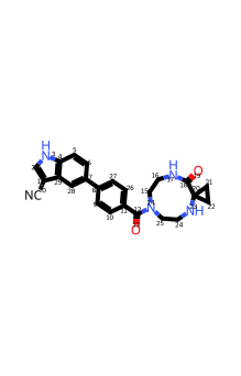 N#Cc1c[nH]c2ccc(-c3ccc(C(=O)N4CCNC(=O)C5(CC5)NCC4)cc3)cc12